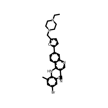 CCN1CCN(Cc2ccc(-c3ccc4c(Nc5c(C)cc(Br)cc5Cl)c(C#N)cnc4c3)o2)CC1